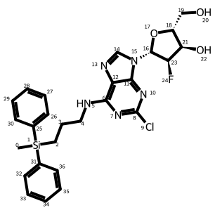 C[Si](CCCNc1nc(Cl)nc2c1ncn2[C@@H]1O[C@H](CO)[C@@H](O)[C@H]1F)(c1ccccc1)c1ccccc1